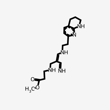 COC(=O)CCNC/C(C=N)=C/NCCc1ccc2c(n1)NCCC2